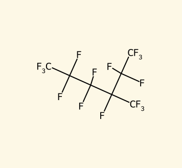 FC(F)(F)C(F)(F)C(F)(F)C(F)(C(F)(F)F)C(F)(F)C(F)(F)F